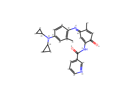 CC1=CC(=O)C(NC(=O)c2cccnc2)=CC1=Nc1ccc(N(C2CC2)C2CC2)cc1C